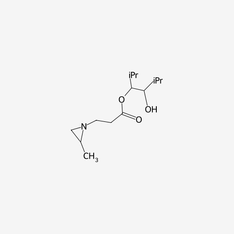 CC(C)C(O)C(OC(=O)CCN1CC1C)C(C)C